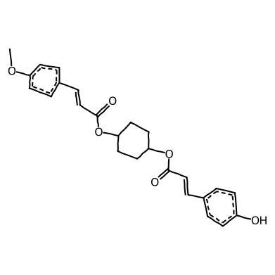 COc1ccc(/C=C/C(=O)OC2CCC(OC(=O)/C=C/c3ccc(O)cc3)CC2)cc1